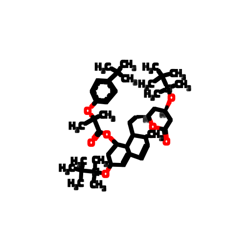 CC1C=CC2=CC(O[Si](C)(C)C(C)(C)C)CC(OC(=O)C(C)(C)Oc3ccc(C(C)(C)C)cc3)C2C1CC[C@@H]1C[C@@H](O[Si](C)(C)C(C)(C)C)CC(=O)O1